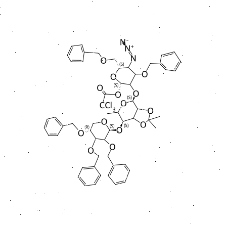 CC1O[C@@H](OC2C(OCc3ccccc3)C(N=[N+]=[N-])[C@@H](COCc3ccccc3)O[C@H]2OC(=O)C(Cl)(Cl)Cl)C2OC(C)(C)OC2[C@H]1O[C@@H]1OC[C@@H](OCc2ccccc2)C(OCc2ccccc2)C1OCc1ccccc1